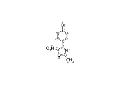 Cc1nc(-c2ccc(Br)cc2)c([N+](=O)[O-])o1